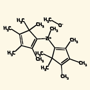 CC1=C(C)C(C)(C)[C]([Zr+]([CH3])[C]2=C(C)C(C)=C(C)C2(C)C)=C1C.C[O-]